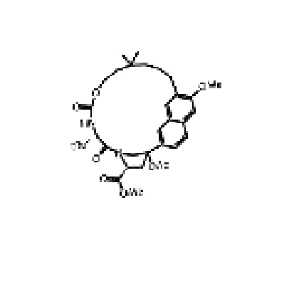 COC(=O)[C@@H]1C[C@]2(OC(C)=O)CN1C(=O)[C@H](C(C)(C)C)NC(=O)OCCC(C)(C)CCCc1cc3cc2ccc3cc1OC